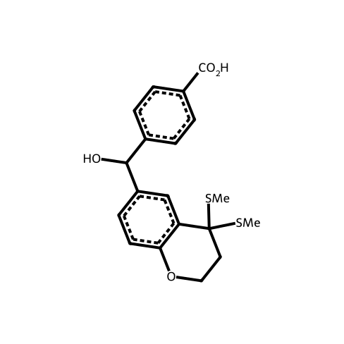 CSC1(SC)CCOc2ccc(C(O)c3ccc(C(=O)O)cc3)cc21